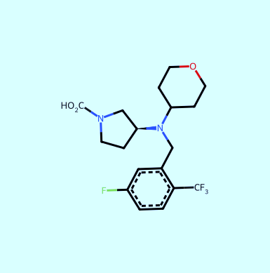 O=C(O)N1CC[C@H](N(Cc2cc(F)ccc2C(F)(F)F)C2CCOCC2)C1